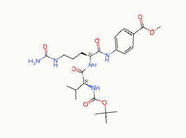 COC(=O)c1ccc(NC(=O)[C@H](CCCNC(N)=O)NC(=O)[C@@H](NC(=O)OC(C)(C)C)C(C)C)cc1